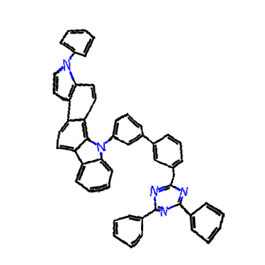 c1ccc(-c2nc(-c3ccccc3)nc(-c3cccc(-c4cccc(-n5c6ccccc6c6ccc7c8ccn(-c9ccccc9)c8ccc7c65)c4)c3)n2)cc1